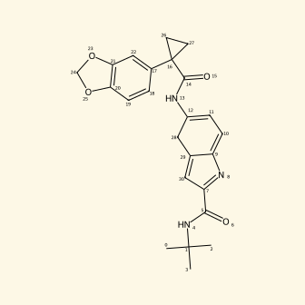 CC(C)(C)NC(=O)C1=NC2=CC=C(NC(=O)C3(c4ccc5c(c4)OCO5)CC3)CC2=C1